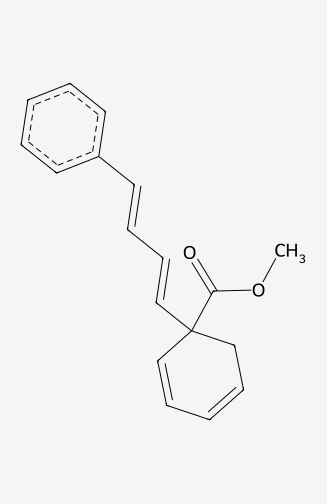 COC(=O)C1(C=CC=Cc2ccccc2)C=CC=CC1